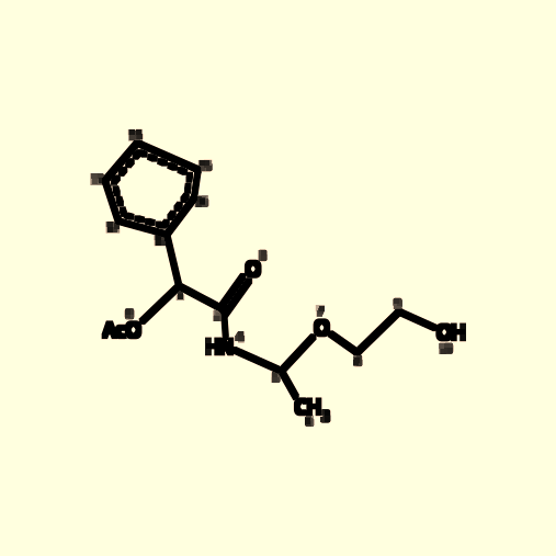 CC(=O)OC(C(=O)NC(C)OCCO)c1ccccc1